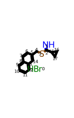 Br.N=C(SCc1ccc2ccccc2c1)C1CC1